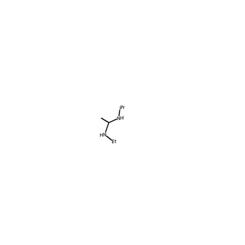 CCNC(C)NC(C)C